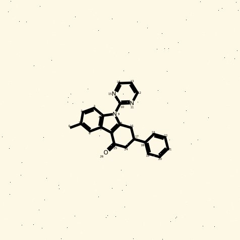 Cc1ccc2c(c1)c1c(n2-c2ncccn2)CC(c2ccccc2)CC1=O